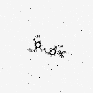 CCCCOc1cc(CO)ccc1CCCc1ccc(OS(=O)(=O)CCCC)c(OC)c1